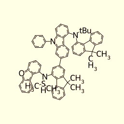 C[SH](C)N(c1cc(-c2ccc3c4c(N(c5cccc6c5-c5ccccc5C6(C)C)C(C)(C)C)cccc4n(-c4ccccc4)c3c2)cc2c1-c1ccccc1C2(C)C)c1cccc2oc3ccccc3c12